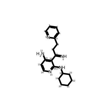 N=C(CCc1ccccn1)c1c(N)ccnc1NC1CCCCC1